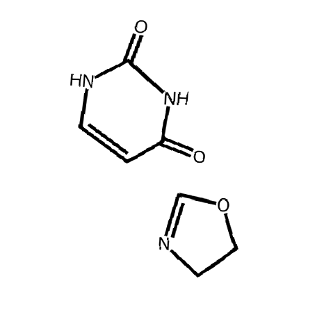 C1=NCCO1.O=c1cc[nH]c(=O)[nH]1